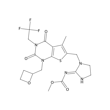 COC(=O)N=C1NCCN1Cc1sc2c(c1C)c(=O)n(CC(F)(F)F)c(=O)n2CC1CCO1